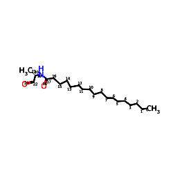 CCCCCCCCCCCCCCCCCC(=O)N[C@@H](C)C=O